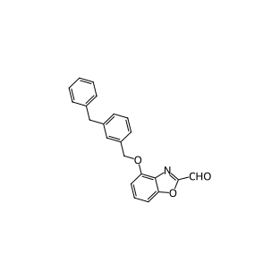 O=Cc1nc2c(OCc3cccc(Cc4ccccc4)c3)cccc2o1